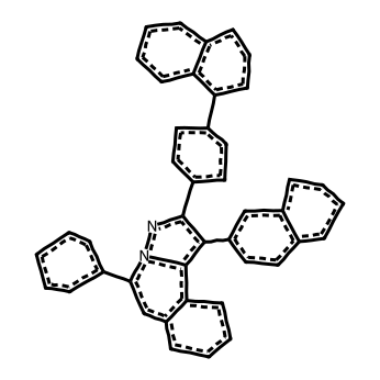 c1ccc(-c2cc3ccccc3c3c(-c4ccc5ccccc5c4)c(-c4ccc(-c5cccc6ccccc56)cc4)nn23)cc1